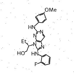 CC[C@H](CO)n1c(Nc2ccccc2F)nc2cnc(Nc3ccc(OC)cc3)nc21